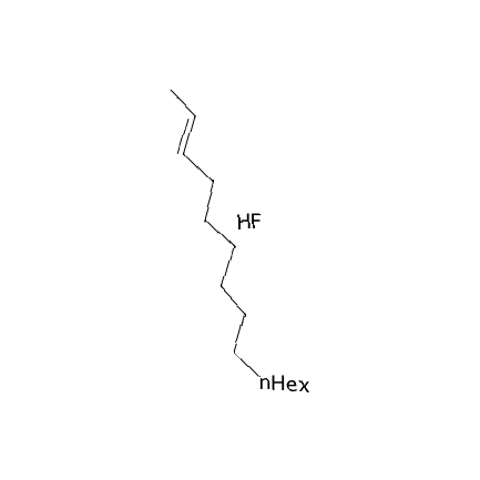 CC=CCCCCCCCCCCCC.F